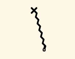 CC(C)(C)CCCCCCCCCCC=O